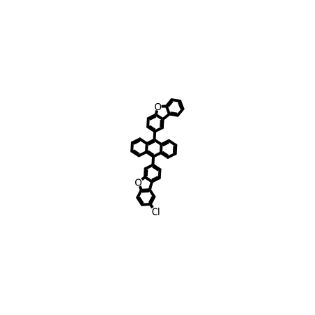 Clc1ccc2oc3cc(-c4c5ccccc5c(-c5ccc6oc7ccccc7c6c5)c5ccccc45)ccc3c2c1